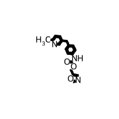 Cc1ccc(Cc2ccc(NC(=O)OCc3cnco3)cc2)cn1